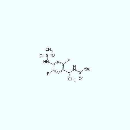 C[C@@H](N[S+]([O-])C(C)(C)C)c1cc(F)c(NS(C)(=O)=O)cc1F